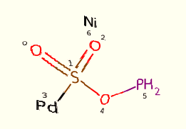 O=[S](=O)([Pd])OP.[Ni]